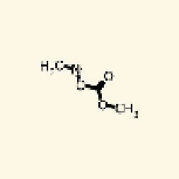 C[N]OC(=O)OC